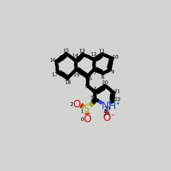 O=S(=O)=C1C(Cc2c3ccccc3cc3ccccc23)=CC=C[NH+]1[O-]